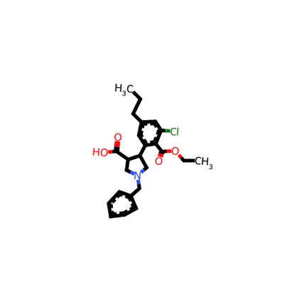 CCCc1cc(Cl)c(C(=O)OCC)c(C2CN(Cc3ccccc3)CC2C(=O)O)c1